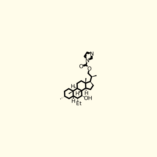 CC[C@H]1[C@@H](O)[C@@H]2[C@H](CC[C@]3(C)[C@@H]([C@H](C)COC(=O)n4ccnc4)CC[C@@H]23)[C@@]2(C)CC[C@@H](C)C[C@@H]12